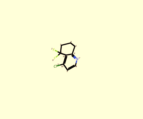 FC1(F)CCCc2nccc(Cl)c21